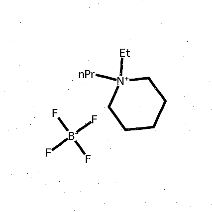 CCC[N+]1(CC)CCCCC1.F[B-](F)(F)F